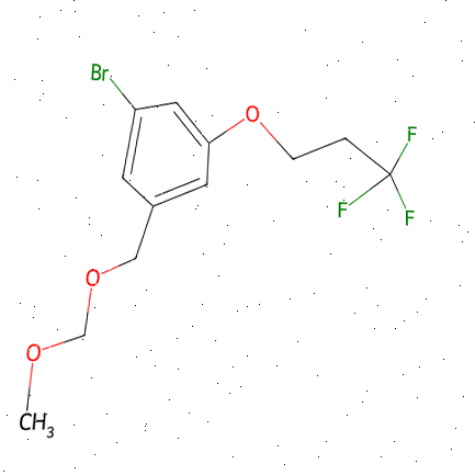 COCOCc1cc(Br)cc(OCCC(F)(F)F)c1